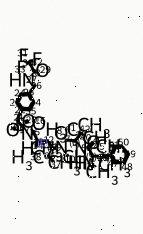 CN[C@H](C(=O)N[C@H](C(=O)N(C)[C@H](/C=C(\C)C(=O)NS(=O)(=O)Cc1ccc(CNC(=O)C(F)(F)F)cc1)C(C)C)C(C)(C)C)C(C)(C)c1ccccc1